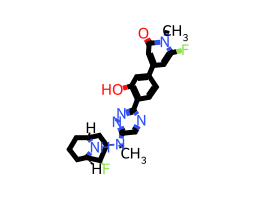 CN(c1cnc(-c2ccc(-c3cc(F)n(C)c(=O)c3)cc2O)nn1)[C@H]1C[C@@H]2CCC[C@@H](N2)[C@H]1F